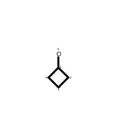 ClC1C[CH]C1